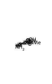 CNC(=O)C(C(=O)NO)N(C)C(=O)c1ccc(C#Cc2ccc(C(C)N)cc2)cc1